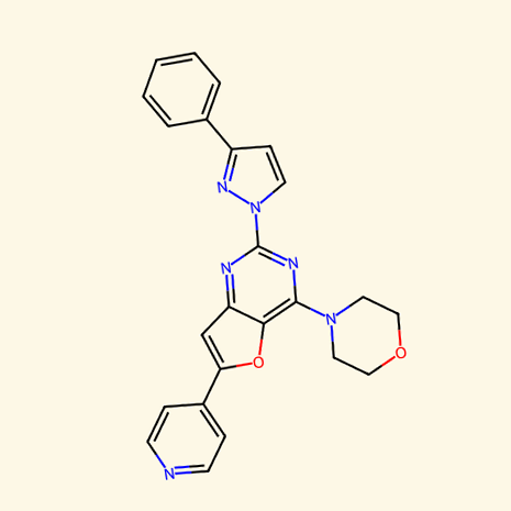 c1ccc(-c2ccn(-c3nc(N4CCOCC4)c4oc(-c5ccncc5)cc4n3)n2)cc1